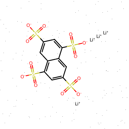 O=S(=O)([O-])c1cc(S(=O)(=O)[O-])c2cc(S(=O)(=O)[O-])cc(S(=O)(=O)[O-])c2c1.[Li+].[Li+].[Li+].[Li+]